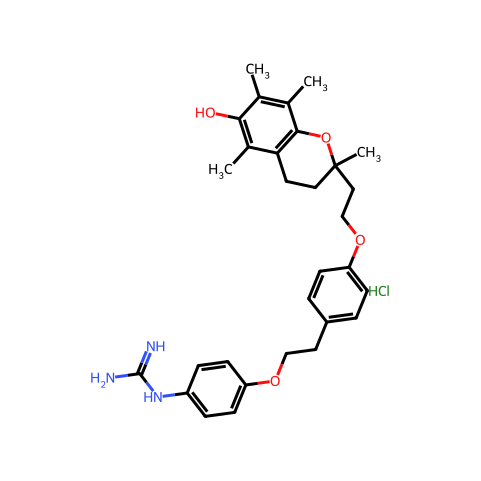 Cc1c(C)c2c(c(C)c1O)CCC(C)(CCOc1ccc(CCOc3ccc(NC(=N)N)cc3)cc1)O2.Cl